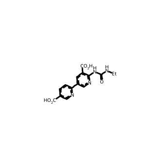 CCNC(=O)Nc1ncc(-c2ccc(C(=O)O)cn2)cc1C(=O)O